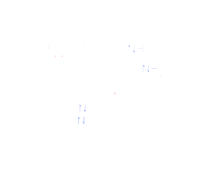 Cn1ccc(COc2cc(N)c(N)c(Cc3ccc(OC(F)(F)F)cc3Cl)c2)n1